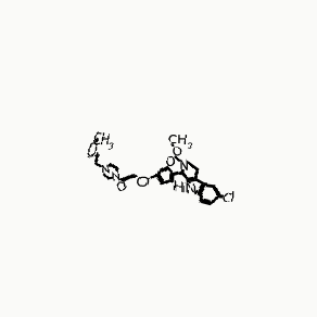 CCOC(=O)N1CCc2c([nH]c3ccc(Cl)cc23)C1c1ccc(OCC(=O)N2CCN(CCOC)CC2)cc1